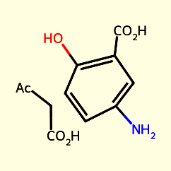 CC(=O)CC(=O)O.Nc1ccc(O)c(C(=O)O)c1